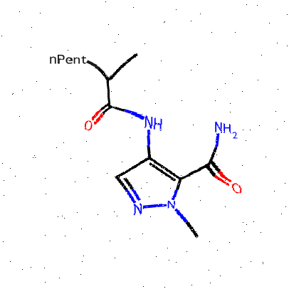 CCCCCC(C)C(=O)Nc1cnn(C)c1C(N)=O